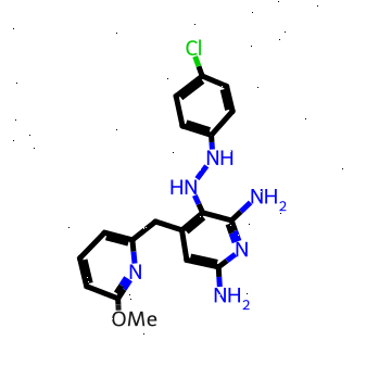 COc1cccc(Cc2cc(N)nc(N)c2NNc2ccc(Cl)cc2)n1